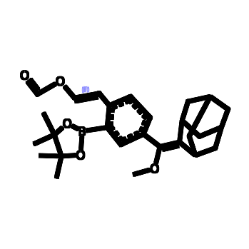 COC(=C1C2CC3CC(C2)CC1C3)c1ccc(/C=C/OC=O)c(B2OC(C)(C)C(C)(C)O2)c1